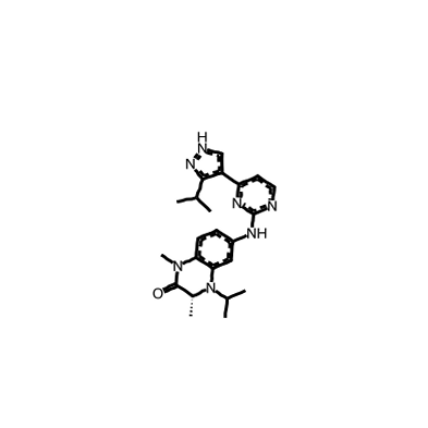 CC(C)c1n[nH]cc1-c1ccnc(Nc2ccc3c(c2)N(C(C)C)[C@H](C)C(=O)N3C)n1